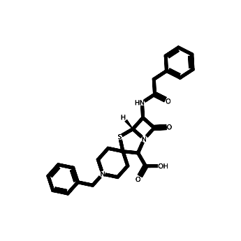 O=C(Cc1ccccc1)NC1C(=O)N2C(C(=O)O)C3(CCN(Cc4ccccc4)CC3)S[C@H]12